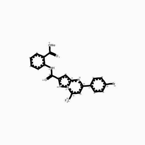 COC(=O)c1ccccc1NC(=O)c1cc2nc(-c3ccc(Br)cc3)cc(C(F)(F)F)n2n1